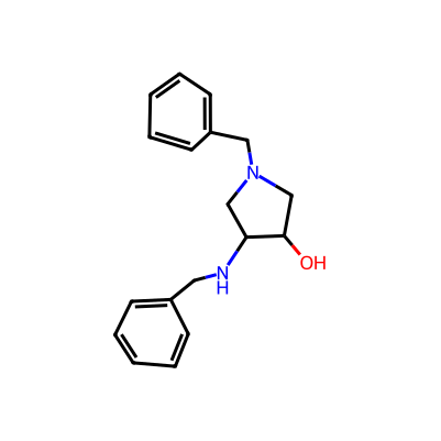 OC1CN(Cc2ccccc2)CC1NCc1ccccc1